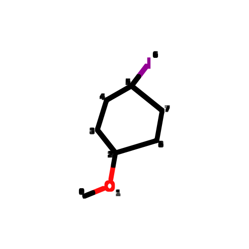 COC1CCC(I)CC1